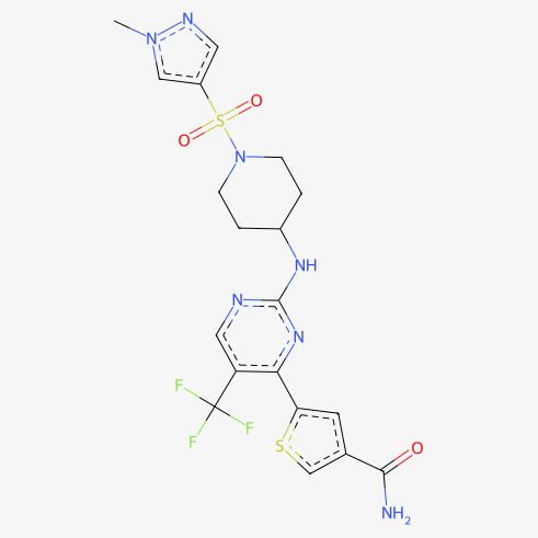 Cn1cc(S(=O)(=O)N2CCC(Nc3ncc(C(F)(F)F)c(-c4cc(C(N)=O)cs4)n3)CC2)cn1